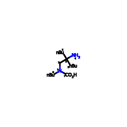 CCCCN(CC(N)(CCCC)CCCC)C(=O)O